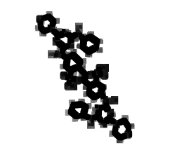 O=S(=O)(O)c1cc([AsH]c2nc(Nc3ccccc3)nc(N3CCOCC3)n2)ccc1C=Cc1ccc([AsH]c2nc(Nc3ccccc3)nc(N3CCOCC3)n2)cc1S(=O)(=O)O